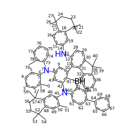 Cc1ccccc1N(c1cc(-c2c(Nc3ccc4c(c3)C(C)(C)CCC4(C)C)ccc3c2-c2ccccc2C3(C)C)c2c(c1)N(c1cc3c(cc1C)C(C)(C)CCC3(C)C)c1ccc(-c3ccccc3)cc1B2)c1ccccc1C